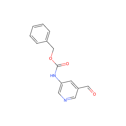 O=Cc1cncc(NC(=O)OCc2ccccc2)c1